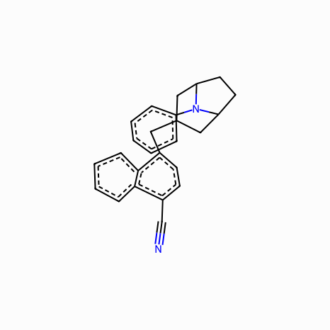 N#Cc1ccc(CC2CC3CCC(C2)N3c2ccccc2)c2ccccc12